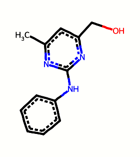 Cc1cc(CO)nc(Nc2ccccc2)n1